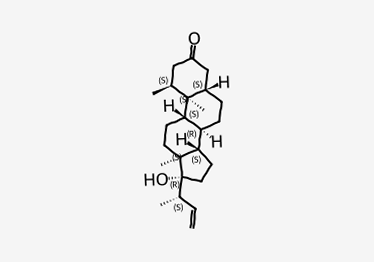 C=C[C@H](C)[C@]1(O)CC[C@H]2[C@@H]3CC[C@H]4CC(=O)C[C@H](C)[C@]4(C)[C@H]3CC[C@@]21C